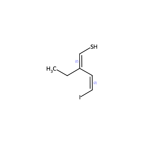 CCC(/C=C\I)=C/S